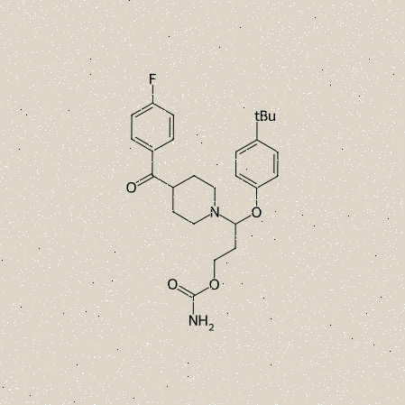 CC(C)(C)c1ccc(OC(CCOC(N)=O)N2CCC(C(=O)c3ccc(F)cc3)CC2)cc1